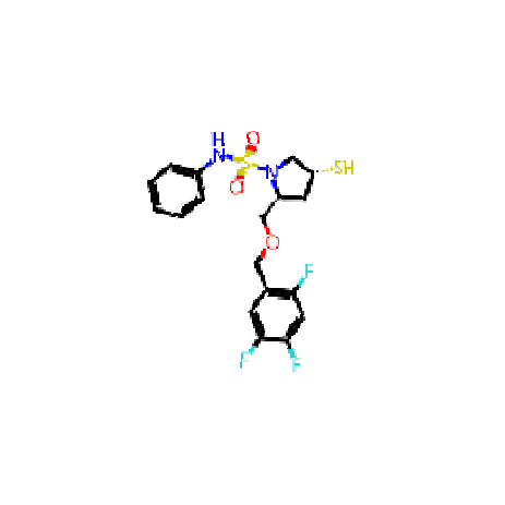 O=S(=O)(Nc1ccccc1)N1C[C@H](S)C[C@H]1COCc1cc(F)c(F)cc1F